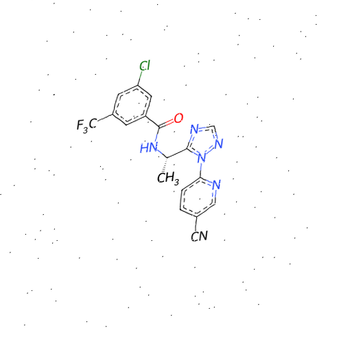 C[C@H](NC(=O)c1cc(Cl)cc(C(F)(F)F)c1)c1ncnn1-c1ccc(C#N)cn1